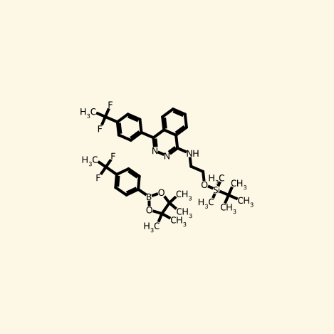 CC(F)(F)c1ccc(-c2nnc(NCCO[Si](C)(C)C(C)(C)C)c3ccccc23)cc1.CC(F)(F)c1ccc(B2OC(C)(C)C(C)(C)O2)cc1